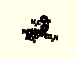 Cc1cccc(F)c1-c1cc2c(NC(=O)c3ccc(F)cc3[N+](=O)[O-])nn(C(=O)O)c2cn1